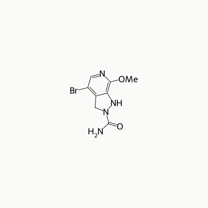 COc1ncc(Br)c2c1NN(C(N)=O)C2